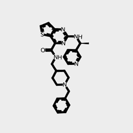 C[C@H](Nc1nc(C(=O)NCC2CCN(Cc3ccccc3)CC2)c2sccc2n1)c1cccnc1